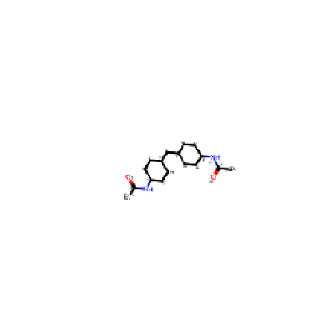 CCC(=O)NC1CCC(CC2CCC(NC(=O)C(C)C)CC2)CC1